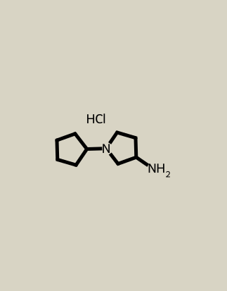 Cl.NC1CCN(C2CCCC2)C1